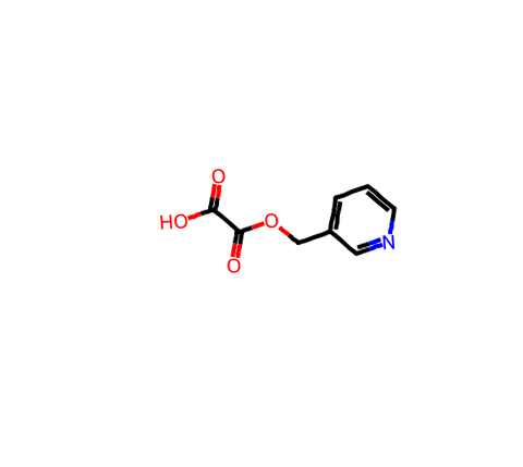 O=C(O)C(=O)OCc1cccnc1